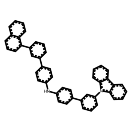 c1cc(-c2ccc(Nc3ccc(-c4cccc(-n5c6ccccc6c6ccccc65)c4)cc3)cc2)cc(-c2cccc3ccccc23)c1